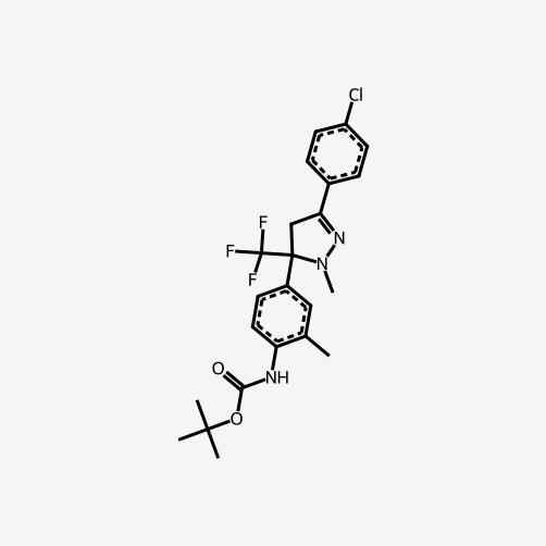 Cc1cc(C2(C(F)(F)F)CC(c3ccc(Cl)cc3)=NN2C)ccc1NC(=O)OC(C)(C)C